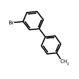 Cc1ccc(-c2cccc(Br)c2)cc1